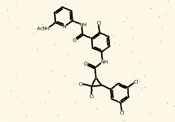 CC(=O)Nc1cccc(NC(=O)c2cc(NC(=O)C3C(c4cc(Cl)cc(Cl)c4)C3(Cl)Cl)ccc2Cl)n1